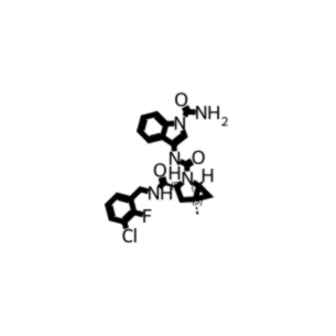 C[C@@]12C[C@@H]1N(C(=O)Nc1cn(C(N)=O)c3ccccc13)[C@H](C(=O)NCc1cccc(Cl)c1F)C2